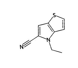 CCn1c(C#N)cc2sccc21